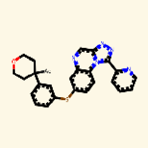 CC(=O)C1(c2cccc(Sc3ccc4c(c3)ncc3nnc(-c5ccccn5)n34)c2)CCOCC1